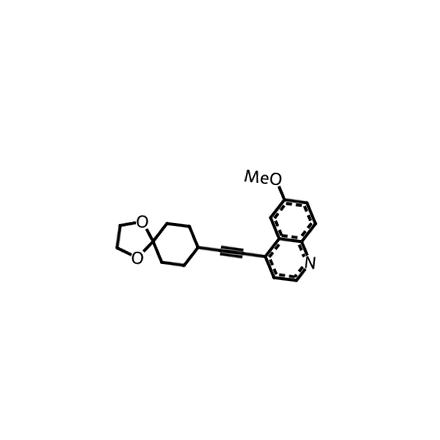 COc1ccc2nccc(C#CC3CCC4(CC3)OCCO4)c2c1